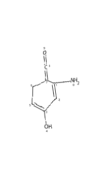 NC1=CC(O)=CCC1=C=O